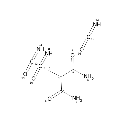 CC(C(N)=O)C(N)=O.N=C=O.N=C=O.N=C=O